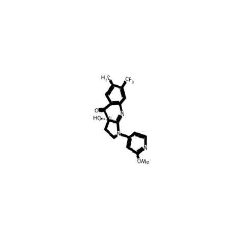 COc1cc(N2CC[C@@]3(O)C(=O)c4cc(C)c(C(F)(F)F)cc4N=C23)ccn1